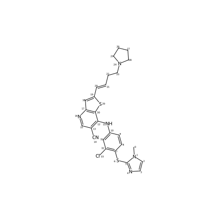 Cn1ccnc1Sc1ccc(Nc2c(C#N)cnc3cc(C=CCCN4CCCC4)sc23)cc1Cl